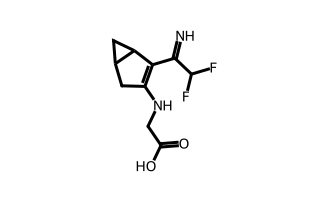 N=C(C1=C(NCC(=O)O)CC2CC12)C(F)F